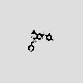 O=C(NCC1CCOCC1)c1cnc(Nc2ccc(F)cc2F)cc1C1CC1